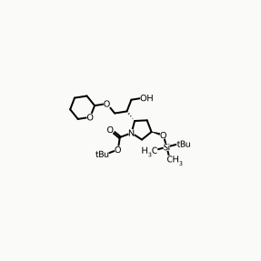 CC(C)(C)OC(=O)N1C[C@H](O[Si](C)(C)C(C)(C)C)C[C@H]1C(CO)COC1CCCCO1